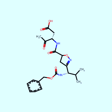 CC(=O)[C@H](CC(=O)O)NC(=O)C1CC([C@@H](NC(=O)OCc2ccccc2)C(C)C)=NO1